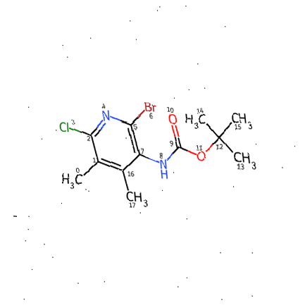 Cc1c(Cl)nc(Br)c(NC(=O)OC(C)(C)C)c1C